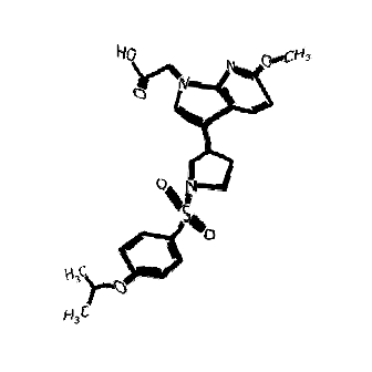 COc1ccc2c(C3CCN(S(=O)(=O)c4ccc(OC(C)C)cc4)C3)cn(CC(=O)O)c2n1